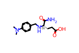 CN(C)c1ccc(CN[C@@H](CCC(=O)O)C(N)=O)cc1